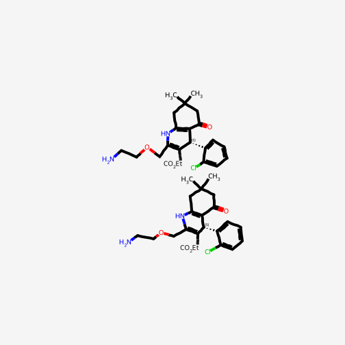 CCOC(=O)C1=C(COCCN)NC2=C(C(=O)CC(C)(C)C2)[C@@H]1c1ccccc1Cl.CCOC(=O)C1=C(COCCN)NC2=C(C(=O)CC(C)(C)C2)[C@@H]1c1ccccc1Cl